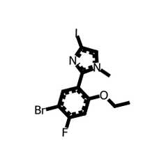 CCOc1cc(F)c(Br)cc1-c1nc(I)cn1C